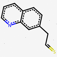 S=CCc1ccc2cccnc2c1